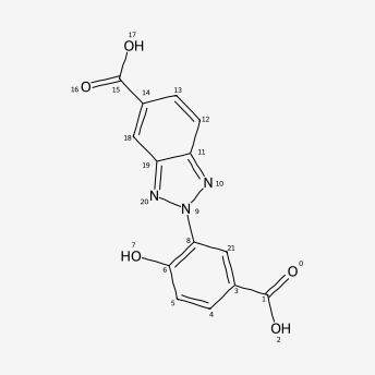 O=C(O)c1ccc(O)c(-n2nc3ccc(C(=O)O)cc3n2)c1